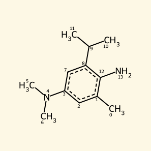 Cc1cc(N(C)C)cc(C(C)C)c1N